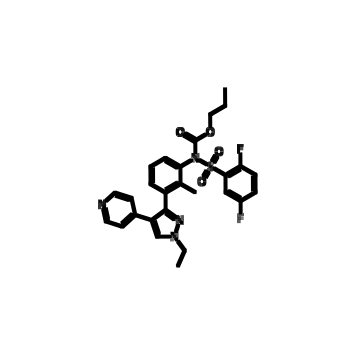 CCCOC(=O)N(c1cccc(-c2nn(CC)cc2-c2ccncc2)c1C)S(=O)(=O)c1cc(F)ccc1F